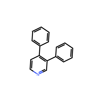 [c]1cccc(-c2ccncc2-c2ccccc2)c1